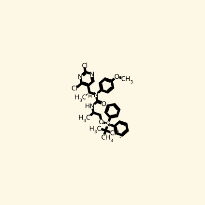 COc1ccc(N(C(=O)NC(C)CO[Si](c2ccccc2)(c2ccccc2)C(C)(C)C)[C@H](C)c2cnc(Cl)nc2Cl)cc1